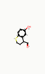 O=CC1CCSc2ccc(O)cc21